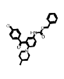 CC1CCN(c2ccc(NC(=O)OCc3ccccc3)cc2C(=O)c2ccc(Cl)cc2)CC1